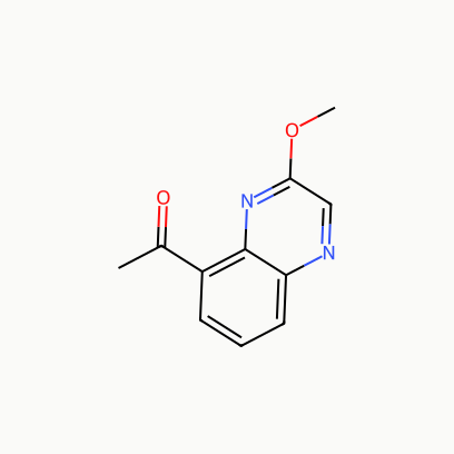 COc1cnc2cccc(C(C)=O)c2n1